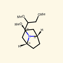 COCC(CN1[C@@H]2CC[C@H]1C[C@H](OC)C2)OC